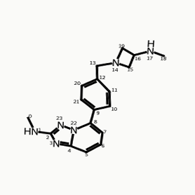 CNc1nc2cccc(-c3ccc(CN4CC(NC)C4)cc3)n2n1